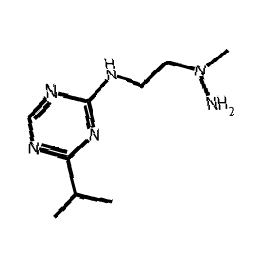 CC(C)c1ncnc(NCCN(C)N)n1